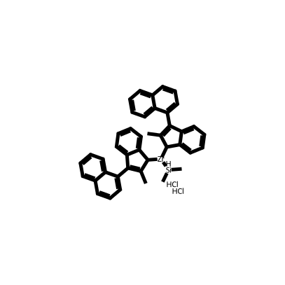 CC1=C(c2cccc3ccccc23)c2ccccc2[CH]1[Zr]([CH]1C(C)=C(c2cccc3ccccc23)c2ccccc21)[SiH](C)C.Cl.Cl